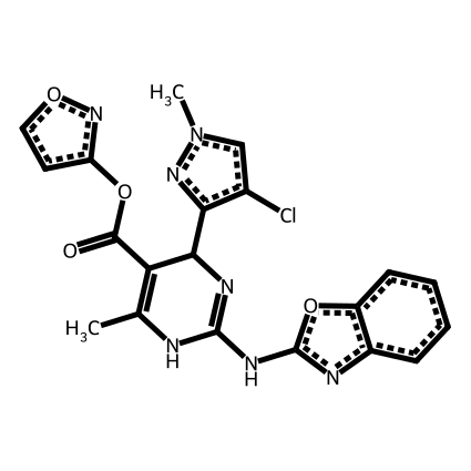 CC1=C(C(=O)Oc2ccon2)C(c2nn(C)cc2Cl)N=C(Nc2nc3ccccc3o2)N1